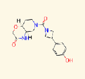 O=C1CO[C@H]2CCN(C(=O)N3CC(c4ccc(O)cc4)C3)C[C@H]2N1